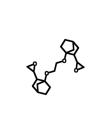 C(COC12CCC(CC1C1CO1)C2)OC12CCC(CC1C1CO1)C2